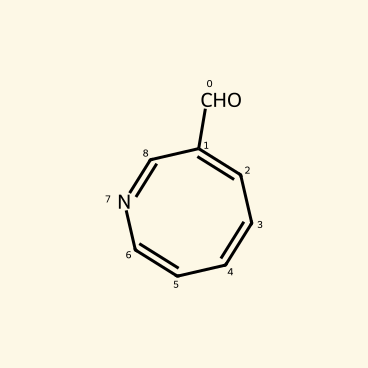 O=CC1=CC=CC=CN=C1